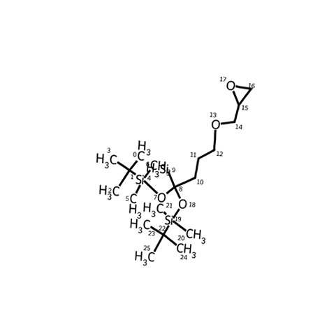 CC(C)(C)[Si](C)(C)OC([SiH3])(CCCOCC1CO1)O[Si](C)(C)C(C)(C)C